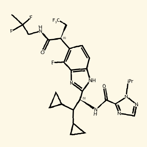 CC(C)n1ncnc1C(=O)N[C@H](c1nc2c(F)c([C@H](CC(F)(F)F)C(=O)NCC(C)(F)F)ccc2[nH]1)C(C1CC1)C1CC1